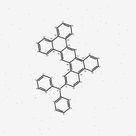 c1ccc(N(c2ccccc2)c2ccc3c4ccccc4c4cc5c6ccccc6c6ccccc6c5cc4c3c2)cc1